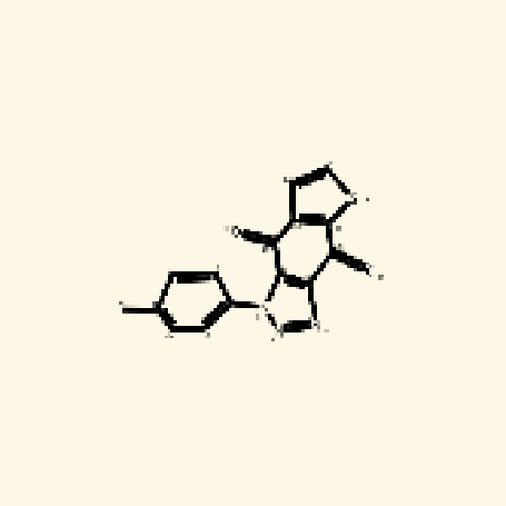 Cc1ccc(-n2nnc3c2C(=O)c2ccsc2C3=O)cc1